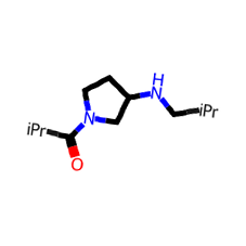 CC(C)CNC1CCN(C(=O)C(C)C)C1